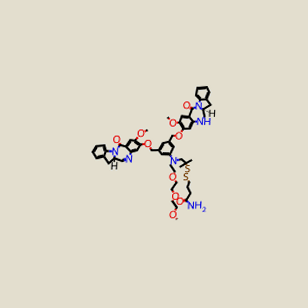 COCCOCCOCCN(CC(C)(C)SSCCCC(N)=O)c1cc(COc2cc3c(cc2OC)C(=O)N2c4ccccc4C[C@H]2C=N3)cc(COc2cc3c(cc2OC)C(=O)N2c4ccccc4C[C@H]2CN3)c1